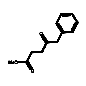 COC(=O)CCC(=O)Cc1ccccc1